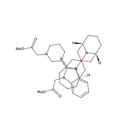 COC(=O)CN1CCCC(=C2N(CC(=O)OC)c3ccccc3N2C2C[C@H]3CCC[C@@H](C2)N3C2C[C@H]3CCCC[C@@H](C2)C3)C1